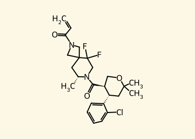 C=CC(=O)N1CC2(C[C@@H](C)N(C(=O)[C@H]3COC(C)(C)C[C@@H]3c3ccccc3Cl)CC2(F)F)C1